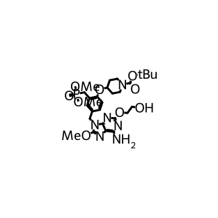 COc1nc2c(N)nc(OCCO)nc2n1Cc1ccc(OC2CCN(C(=O)OC(C)(C)C)CC2)c(CP(=O)(OC)OC)c1